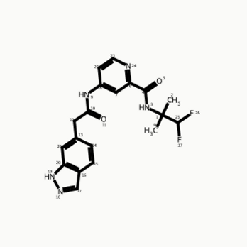 CC(C)(NC(=O)c1cc(NC(=O)Cc2ccc3cn[nH]c3c2)ccn1)C(F)F